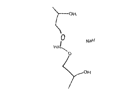 CC(O)C[O][AlH][O]CC(C)O.[NaH]